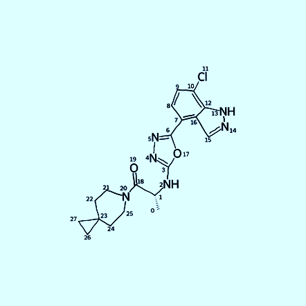 C[C@@H](Nc1nnc(-c2ccc(Cl)c3[nH]ncc23)o1)C(=O)N1CCC2(CC1)CC2